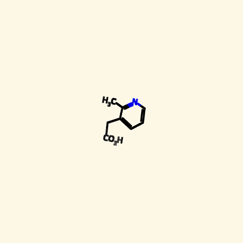 Cc1ncccc1CC(=O)O